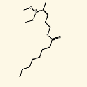 CCCCCCCC(=O)SCCCC(C)[SiH](OC)OC